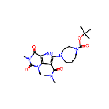 CN(C)C(=O)c1c(N2CCCN(C(=O)OC(C)(C)C)CC2)[nH]c2c(=O)n(C)c(=O)n(C)c12